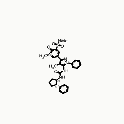 CNS(=O)(=O)c1cc(-c2nn(-c3ccccc3)c(NC(=O)N[C@@H]3CCC[C@H]3c3ccccc3)c2C)cn(C)c1=O